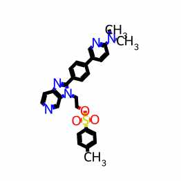 Cc1ccc(S(=O)(=O)OCCn2c(-c3ccc(-c4ccc(N(C)C)nc4)cc3)nc3ccncc32)cc1